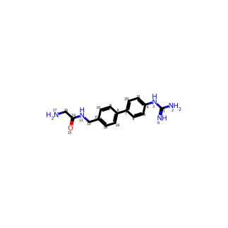 N=C(N)Nc1ccc(-c2ccc(CNC(=O)CN)cc2)cc1